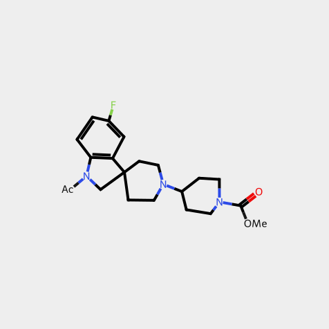 COC(=O)N1CCC(N2CCC3(CC2)CN(C(C)=O)c2ccc(F)cc23)CC1